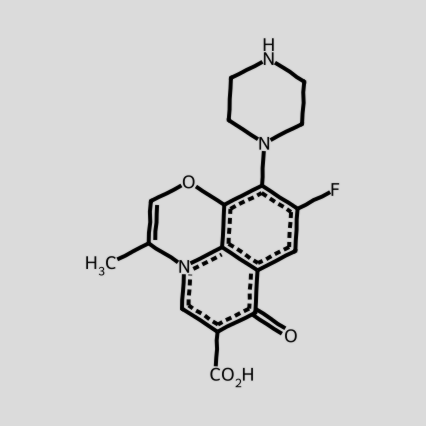 CC1=COc2c(N3CCNCC3)c(F)cc3c(=O)c(C(=O)O)cn1c23